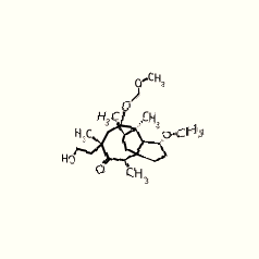 COCO[C@@H]1C[C@@](C)(CCO)C(=O)[C@H](C)C23CC[C@@H](C)[C@]1(C)C2[C@H](OC)CC3